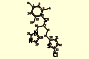 Cc1cc(C)c(SC(CCc2ccc(Cl)s2)Cn2ccnc2)c(C)c1